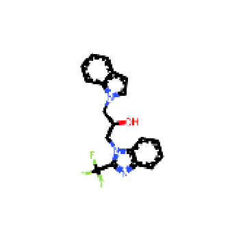 OC(Cn1ccc2ccccc21)Cn1c(C(F)(F)F)nc2ccccc21